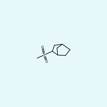 CS(=O)(=O)C1CC2CC[C]1C2